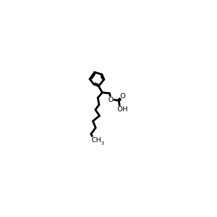 CCCCCCCCC(COC(=O)O)c1ccccc1